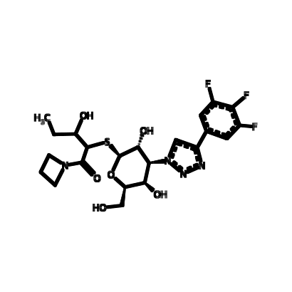 CCC(O)C(S[C@@H]1O[C@H](CO)[C@H](O)[C@H](n2cc(-c3cc(F)c(F)c(F)c3)nn2)[C@H]1O)C(=O)N1CCC1